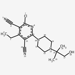 CCc1c(C#N)c(Cl)nc(N2CCN(C(C)(C)CO)CC2)c1C#N